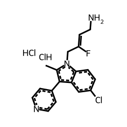 Cc1c(-c2ccncc2)c2cc(Cl)ccc2n1C/C(F)=C/CN.Cl.Cl